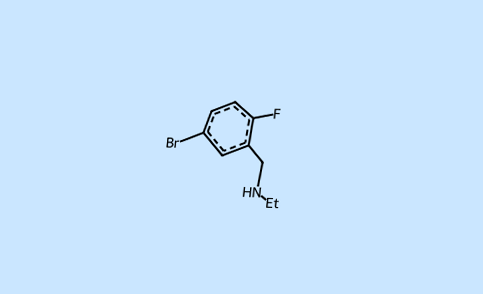 CCNCc1cc(Br)ccc1F